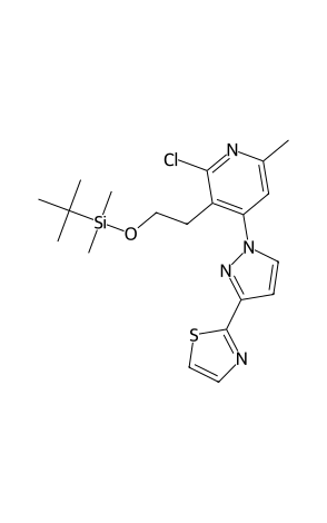 Cc1cc(-n2ccc(-c3nccs3)n2)c(CCO[Si](C)(C)C(C)(C)C)c(Cl)n1